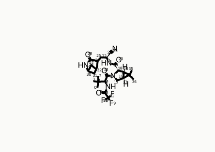 CC(C)(C)C(NC(=O)C(F)(F)F)C(=O)N1C[C@H]2[C@@H]([C@H]1C(=O)N[C@H](C#N)CC1C(=O)NC3CC1C3)C2(C)C